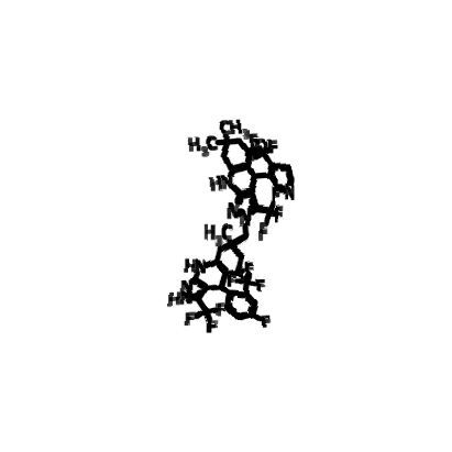 CC1(C)CC(=O)C2=C(C1)Nc1nn(CC3(C)CC(=O)C4=C(C3)Nc3n[nH]c(C(F)(F)F)c3C4c3ccc(F)cc3C(F)(F)F)c(C(F)(F)F)c1C2c1cnccc1C(F)(F)F